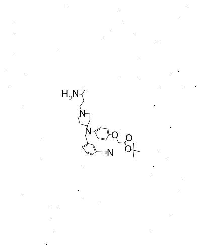 CC(N)CCN1CCC(N(Cc2cccc(C#N)c2)c2ccc(OCC(=O)OC(C)(C)C)cc2)CC1